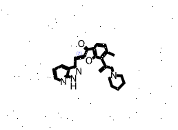 C=C(CN1CCCCC1)c1c(C)ccc2c1O/C(=C\c1n[nH]c3ncccc13)C2=O